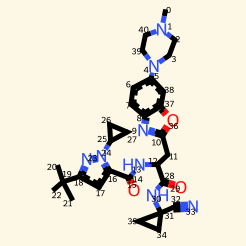 CN1CCN(c2ccc3nc(CC(NC(=O)c4cc(C(C)(C)C)nn4C4CC4)C(=O)NC4(C#N)CC4)oc3c2)CC1